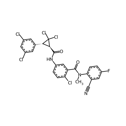 CN(C(=O)c1cc(NC(=O)[C@H]2[C@H](c3cc(Cl)cc(Cl)c3)C2(Cl)Cl)ccc1Cl)c1ccc(F)cc1C#N